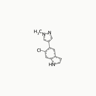 Cn1cc(-c2cc3cc[nH]c3cc2Cl)cn1